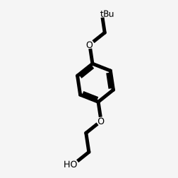 CC(C)(C)COc1ccc(OCCO)cc1